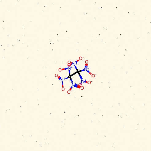 O=[N+]([O-])C([N+](=O)[O-])([N+](=O)[O-])C([N+](=O)[O-])([N+](=O)[O-])[N+](=O)[O-]